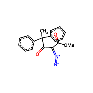 COC(=O)C(=[N+]=[N-])C(=O)C(C)(c1ccccc1)c1ccccc1